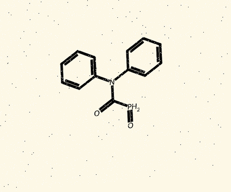 O=[PH2]C(=O)N(c1ccccc1)c1ccccc1